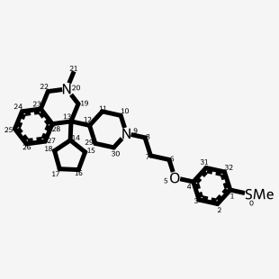 CSc1ccc(OCCCN2CCC(C3(C4CCCC4)CN(C)Cc4ccccc43)CC2)cc1